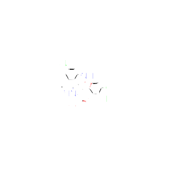 CC(C)(C)C[C@H]1N[C@@H](C(=O)O)[C@H](c2ccc(Cl)c(Cl)c2)[C@@]12C(=O)Nc1cc(Cl)ccc12